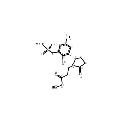 COS(=O)(=O)Cc1cc(C)cc([C@@H]2CCC(=O)N2CCC(=O)OC(C)(C)C)c1C